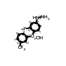 Cl.NNc1ccc(Oc2cccc(C(F)(F)F)c2)c(F)c1